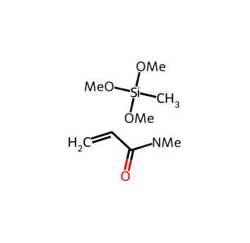 C=CC(=O)NC.CO[Si](C)(OC)OC